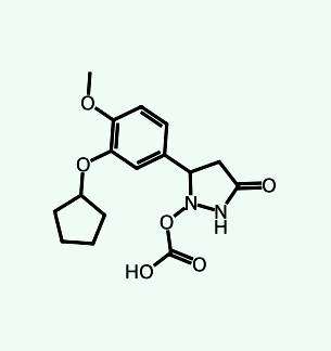 COc1ccc(C2CC(=O)NN2OC(=O)O)cc1OC1CCCC1